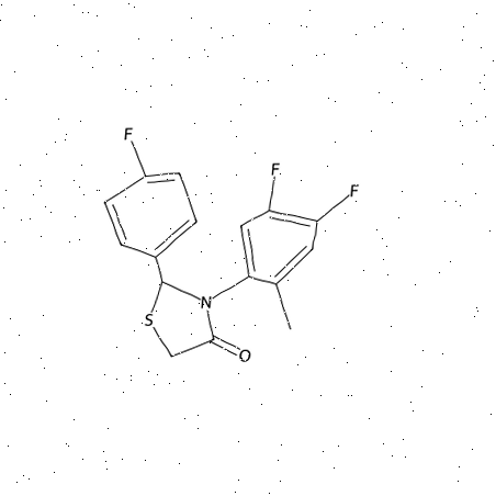 Cc1cc(F)c(F)cc1N1C(=O)CSC1c1ccc(F)cc1